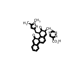 Cc1cc(CC2C(=O)C(C)C=c3ccc4c(c32)C(=O)C=c2ccccc2=4)nn1C.O=C(O)c1cncnn1